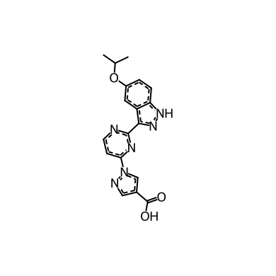 CC(C)Oc1ccc2[nH]nc(-c3nccc(-n4cc(C(=O)O)cn4)n3)c2c1